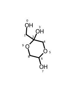 OCC1(O)COC(O)CO1